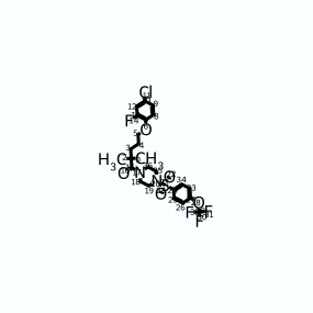 CC(C)(CCCOc1ccc(Cl)cc1F)C(=O)N1CCN(S(=O)(=O)c2ccc(OC(F)(F)F)cc2)CC1